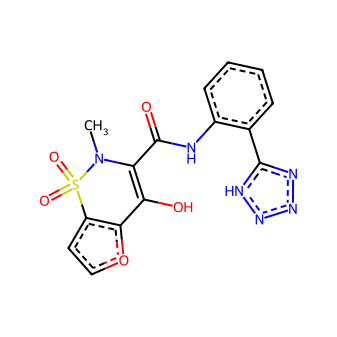 CN1C(C(=O)Nc2ccccc2-c2nnn[nH]2)=C(O)c2occc2S1(=O)=O